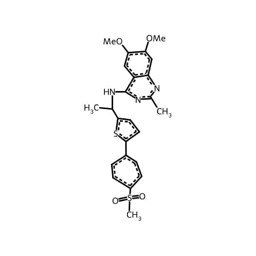 COc1cc2nc(C)nc(NC(C)c3ccc(-c4ccc(S(C)(=O)=O)cc4)s3)c2cc1OC